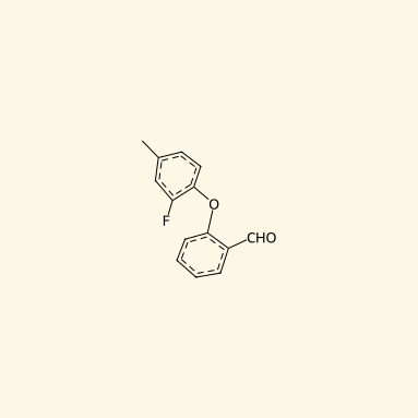 Cc1ccc(Oc2ccccc2C=O)c(F)c1